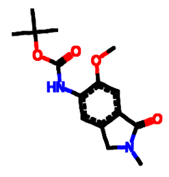 COc1cc2c(cc1NC(=O)OC(C)(C)C)CN(C)C2=O